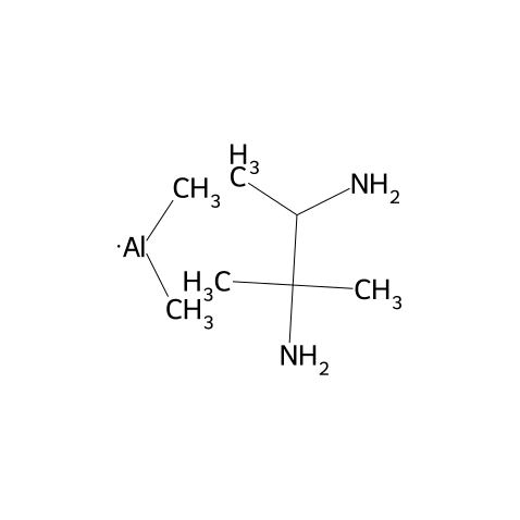 CC(N)C(C)(C)N.[CH3][Al][CH3]